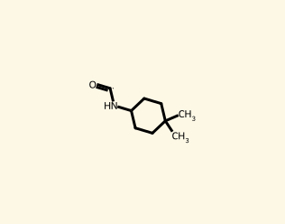 CC1(C)CCC(N[C]=O)CC1